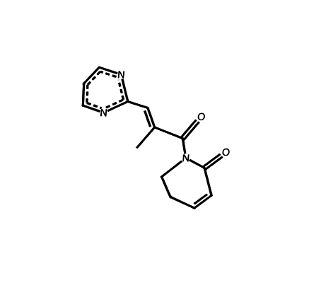 C/C(=C\c1ncccn1)C(=O)N1CCC=CC1=O